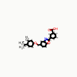 Cc1cc(OCc2ccc3oc(-c4cccc(C(=O)O)c4)nc3c2)ccc1C(C)C